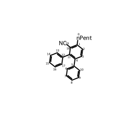 CCCCCc1ccc(-c2ccccc2)c(-c2ccccc2)c1C#N